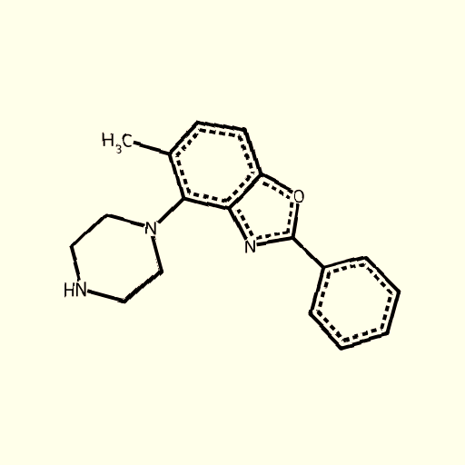 Cc1ccc2oc(-c3ccccc3)nc2c1N1CCNCC1